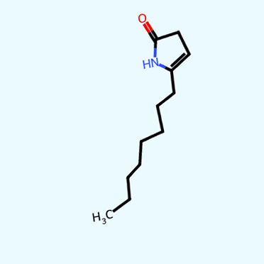 CCCCCCCCC1=CCC(=O)N1